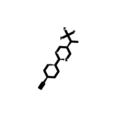 C#C[C@H]1CC[C@H]([C@H]2SC[C@H](C(C)C(F)(F)F)CS2)CC1